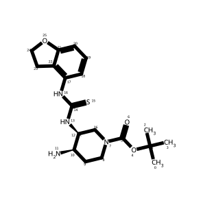 CC(C)(C)OC(=O)N1CC[C@@H](N)[C@@H](NC(=S)Nc2cccc3c2CCO3)C1